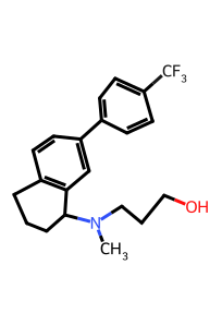 CN(CCCO)C1CCCc2ccc(-c3ccc(C(F)(F)F)cc3)cc21